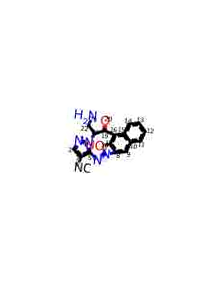 [C-]#[N+]c1cnn2c1/N=N/c1cc3ccccc3c(c1O)C(=O)C2CN